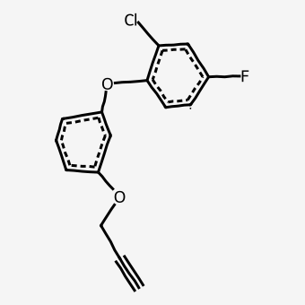 C#CCOc1cccc(Oc2c[c]c(F)cc2Cl)c1